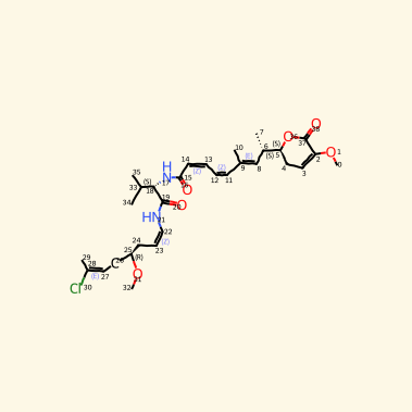 COC1=CC[C@@H]([C@@H](C)/C=C(C)/C=C\C=C/C(=O)N[C@H](C(=O)N/C=C\C[C@H](C/C=C(\C)Cl)OC)C(C)C)OC1=O